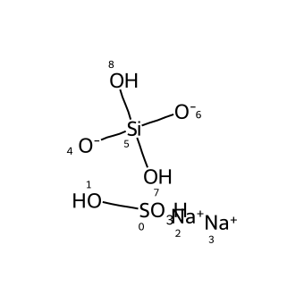 O=S(=O)(O)O.[Na+].[Na+].[O-][Si]([O-])(O)O